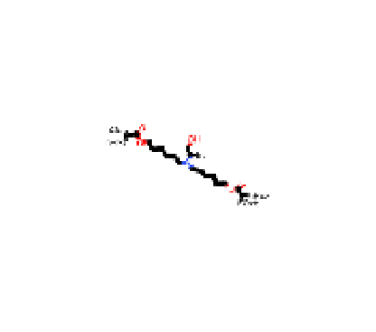 CCCCCCCCC(CCCCCC)C(=O)OCCCCCCN(CCCCCCOC(=O)C(CCCCCC)CCCCCCCC)[C@H](CC)CO